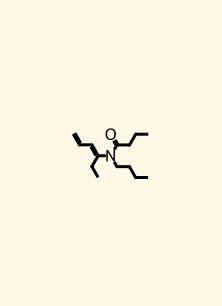 C=C/C=C(\CC)N(CCCC)C(=O)CCC